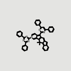 CC1(C)C2=c3ccccc3=CC2=Cc2c(-c3nc(-c4ccccc4)cc(-c4ccccc4)n3)c3ccn(-c4nc(-c5ccccc5)nc(-c5ccccc5)n4)cc-3c21